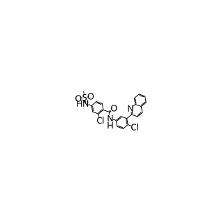 CS(=O)(=O)Nc1ccc(C(=O)Nc2ccc(Cl)c(-c3ccc4ccccc4n3)c2)c(Cl)c1